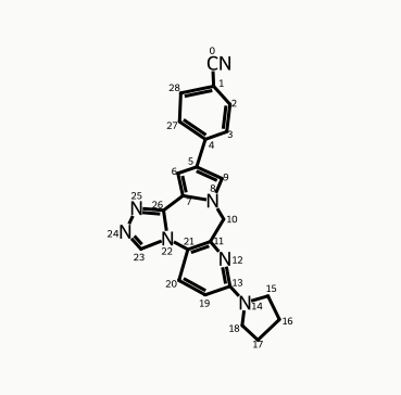 N#Cc1ccc(-c2cc3n(c2)Cc2nc(N4CCCC4)ccc2-n2cnnc2-3)cc1